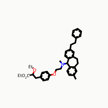 CCOC(=O)C(Cc1ccc(OCCN(C)C2c3ccc(C)cc3CCc3cc(CCc4ccccc4)ccc32)cc1)OCC